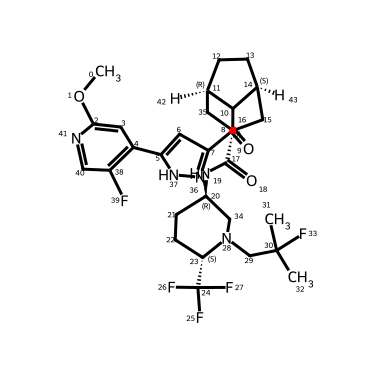 COc1cc(-c2cc(C(=O)C3[C@@H]4CC[C@H]3C[C@H](C(=O)N[C@@H]3CC[C@@H](C(F)(F)F)N(CC(C)(C)F)C3)C4)n[nH]2)c(F)cn1